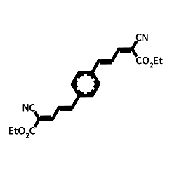 CCOC(=O)C(C#N)=CC=Cc1ccc(C=CC=C(C#N)C(=O)OCC)cc1